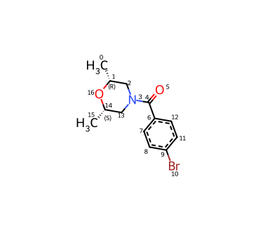 C[C@@H]1CN(C(=O)c2ccc(Br)cc2)C[C@H](C)O1